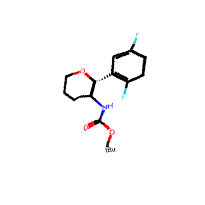 CC(C)(C)OC(=O)NC1CCCO[C@@H]1C1=C(F)CCC(F)=C1